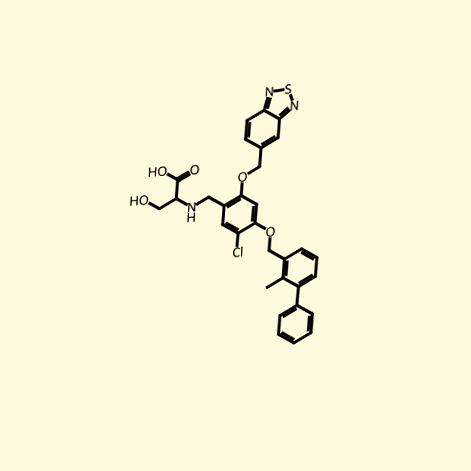 Cc1c(COc2cc(OCc3ccc4nsnc4c3)c(CNC(CO)C(=O)O)cc2Cl)cccc1-c1ccccc1